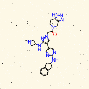 CN1CC(Nc2nn(CC(=O)N3CCc4[nH]nnc4C3)cc2-c2cnc(NC3Cc4ccccc4C3)nc2)C1